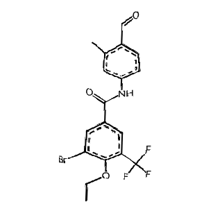 CCOc1c(Br)cc(C(=O)Nc2ccc(C=O)c(C)c2)cc1C(F)(F)F